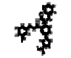 CN(C)[C@@H]1CCN(c2ccc(N(C=O)Cc3cccnc3)c(NCCc3cccc(F)c3)n2)C1